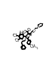 Cc1ccc(C2=NC(COCCN3CCCCC3)=C(C(=O)O)C(c3ccc(Cl)c(Cl)c3)N2CCCc2ccccc2)cc1